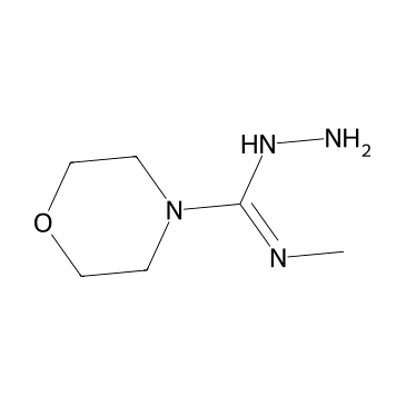 C/N=C(\NN)N1CCOCC1